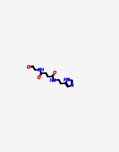 O=CCNC(=O)CCC(=O)NCCc1cnc[nH]1